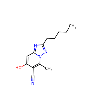 CCCCCc1nc2cc(O)c(C#N)c(C)n2n1